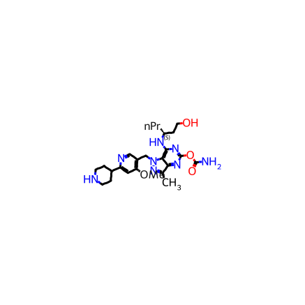 CCC[C@@H](CCO)Nc1nc(OC(N)=O)nc2c(C)nn(Cc3cnc(C4CCNCC4)cc3OC)c12